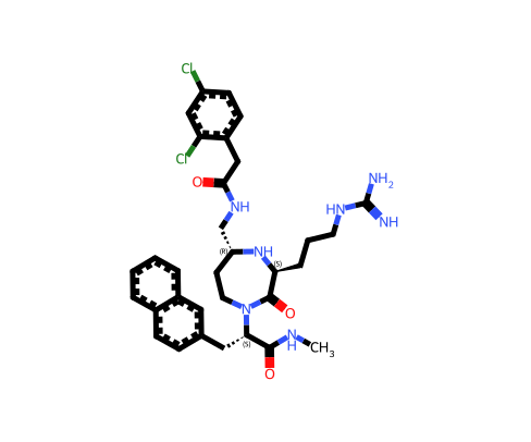 CNC(=O)[C@H](Cc1ccc2ccccc2c1)N1CC[C@H](CNC(=O)Cc2ccc(Cl)cc2Cl)N[C@@H](CCCNC(=N)N)C1=O